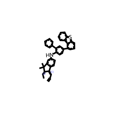 C#C/C=C1\C(=C/C)C(C)(C)c2cc(Nc3ccc(-c4cccc5sc6ccccc6c45)cc3-c3ccccc3)ccc21